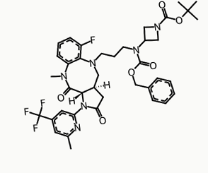 Cc1cc(C(F)(F)F)cc(N2C(=O)C[C@@H]3CN(CCCN(C(=O)OCc4ccccc4)C4CN(C(=O)OC(C)(C)C)C4)c4c(F)cccc4N(C)C(=O)[C@H]32)n1